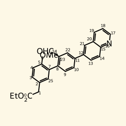 CCOC(=O)Cc1ccc(OC)c(-c2ccc(-c3ccc4ncccc4c3)cc2C=O)c1